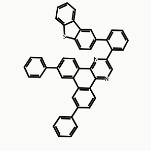 c1ccc(-c2ccc3c(c2)c2cc(-c4ccccc4)ccc2c2nc(-c4ccccc4-c4ccc5sc6ccccc6c5c4)cnc32)cc1